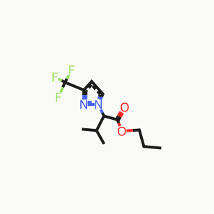 CCCOC(=O)C(C(C)C)n1ccc(C(F)(F)F)n1